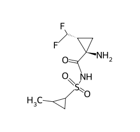 CC1CC1S(=O)(=O)NC(=O)[C@@]1(N)C[C@H]1C(F)F